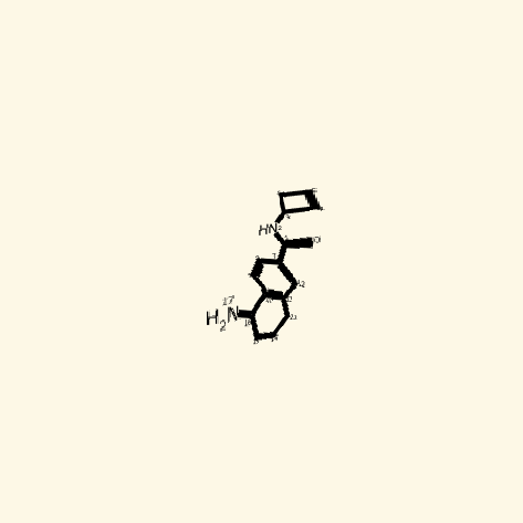 C=C(NC1CCC1)c1ccc2c(c1)CCCC2N